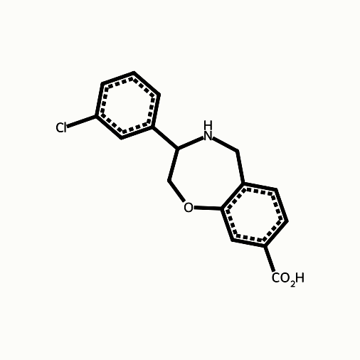 O=C(O)c1ccc2c(c1)OCC(c1cccc(Cl)c1)NC2